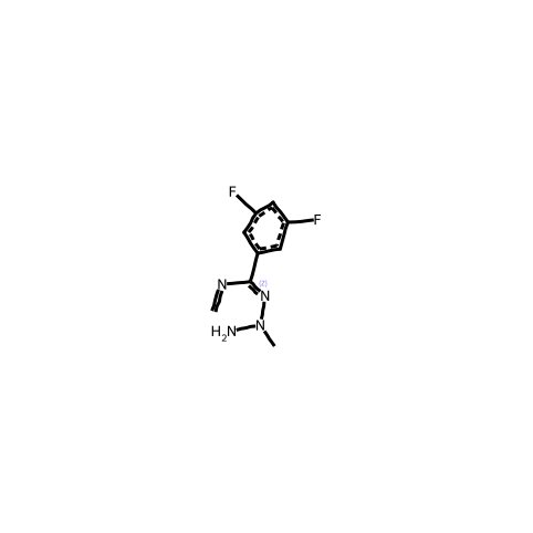 C=N/C(=N\N(C)N)c1cc(F)cc(F)c1